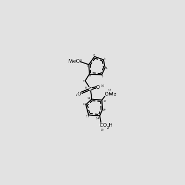 COc1ccccc1CS(=O)(=O)c1ccc(C(=O)O)cc1OC